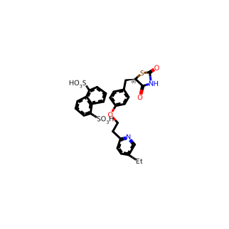 CCc1ccc(CCOc2ccc(C[C@H]3SC(=O)NC3=O)cc2)nc1.O=S(=O)(O)c1cccc2c(S(=O)(=O)O)cccc12